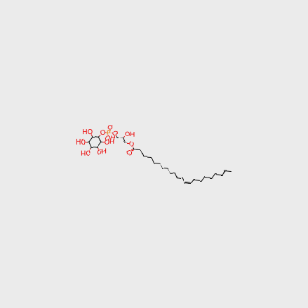 CCCCCCCC/C=C\CCCCCCCCCCCC(=O)OCC(O)COP(=O)(O)OC1C(O)C(O)C(O)C(O)C1O